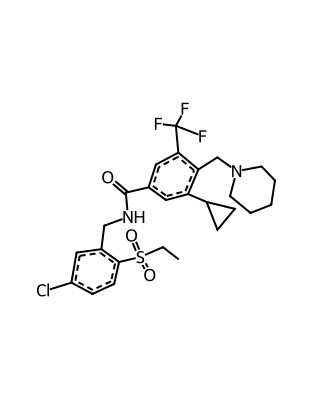 CCS(=O)(=O)c1ccc(Cl)cc1CNC(=O)c1cc(C2CC2)c(CN2CCCCC2)c(C(F)(F)F)c1